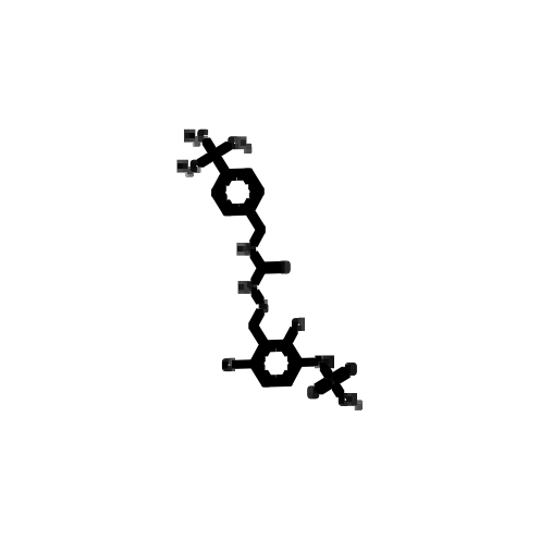 CC(C)(C)c1ccc(CNC(=O)NSCc2c(Cl)ccc(NS(C)(=O)=O)c2Cl)cc1